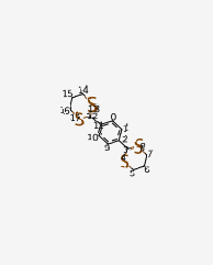 c1cc(C2SCCCS2)ccc1C1SCCCS1